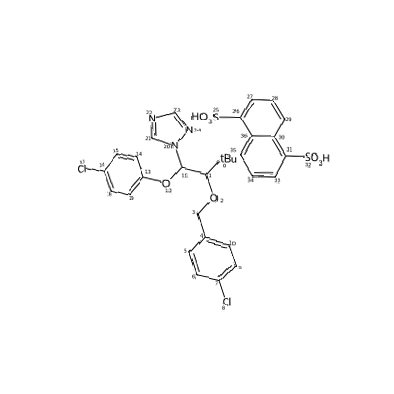 CC(C)(C)C(OCc1ccc(Cl)cc1)C(Oc1ccc(Cl)cc1)n1cncn1.O=S(=O)(O)c1cccc2c(S(=O)(=O)O)cccc12